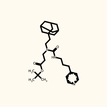 CC(C)(C)OC(=O)CCN(CCC12CC3CC(CC(C3)C1)C2)C(=O)NCCCc1ccncc1